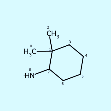 CC1(C)CCCCC1[NH]